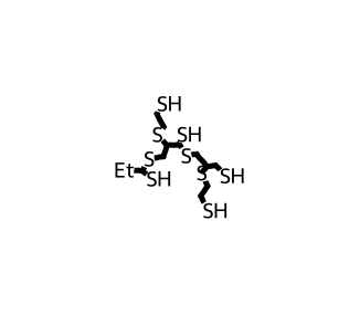 CCC(S)SCC(SCCS)C(S)SCC(CS)SCCS